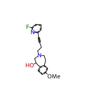 COc1ccc2c(c1)CCN(CCC#Cc1cccc(F)n1)CC2O